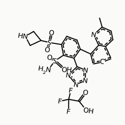 Cc1ccc2cccc(-c3ccc(S(=O)(=O)C4CNC4)c(S(N)(=O)=O)c3-c3nnn[nH]3)c2n1.O=C(O)C(F)(F)F